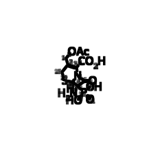 CC(=O)OCC1=C(C(=O)O)N2C(=O)[C@@](N)(P(=O)(O)O)[C@H]2SC1